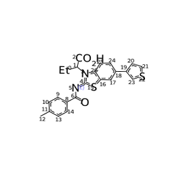 CCC(C(=O)O)n1/c(=N/C(=O)c2ccc(C)cc2)sc2cc(-c3ccsc3)ccc21